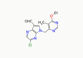 CCOc1ncnc(Cn2cc(C=O)c3ncc(Cl)nc32)c1C